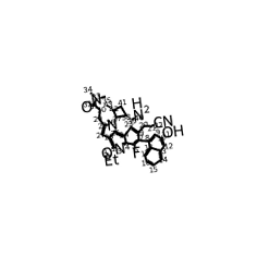 CCOc1nc2c(F)c(-c3cc(O)cc4ccccc34)c(CCC#N)cc2c2c1cc(CCC(=O)N(C)C)n2[C@H]1[C@@H](CN)C[C@@H]1C